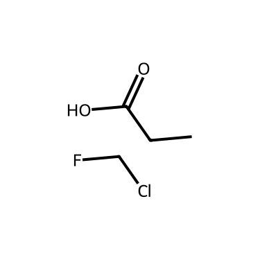 CCC(=O)O.FCCl